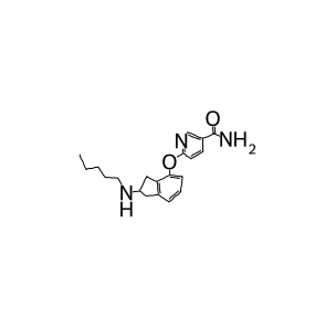 CCCCCNC1Cc2cccc(Oc3ccc(C(N)=O)cn3)c2C1